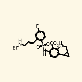 CCNCC=Cc1cc(F)ccc1S(=O)(=O)Nc1ccc2c(c1C(=O)O)OCC1CC21